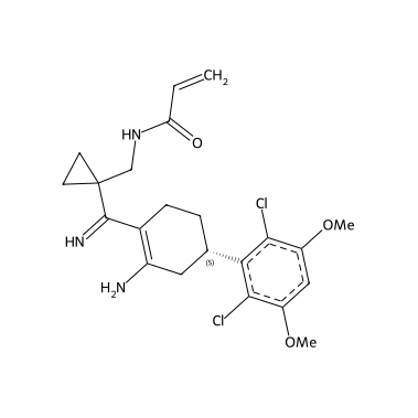 C=CC(=O)NCC1(C(=N)C2=C(N)C[C@@H](c3c(Cl)c(OC)cc(OC)c3Cl)CC2)CC1